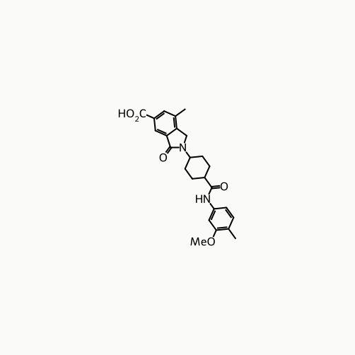 COc1cc(NC(=O)C2CCC(N3Cc4c(C)cc(C(=O)O)cc4C3=O)CC2)ccc1C